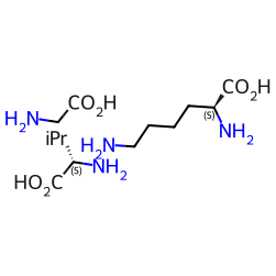 CC(C)[C@H](N)C(=O)O.NCC(=O)O.NCCCC[C@H](N)C(=O)O